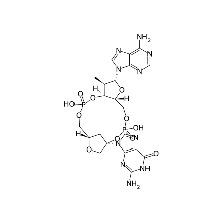 C[C@@H]1[C@@H]2OP(=O)(O)OC[C@@H]3C[C@](n4cnc5c(=O)[nH]c(N)nc54)(CO3)OP(=O)(O)OC[C@H]2O[C@H]1n1cnc2c(N)ncnc21